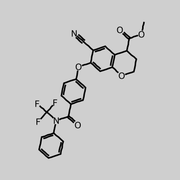 COC(=O)C1CCOc2cc(Oc3ccc(C(=O)N(c4ccccc4)C(F)(F)F)cc3)c(C#N)cc21